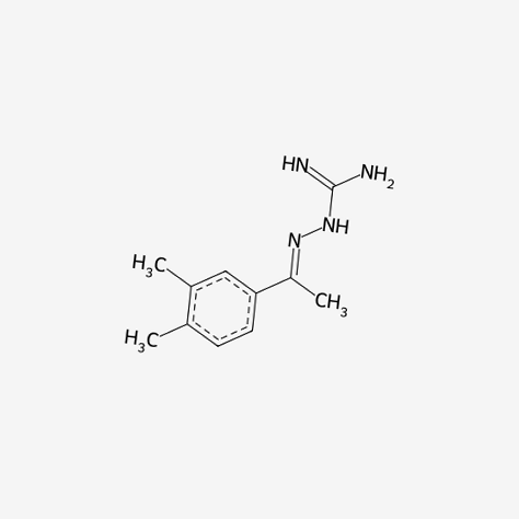 CC(=NNC(=N)N)c1ccc(C)c(C)c1